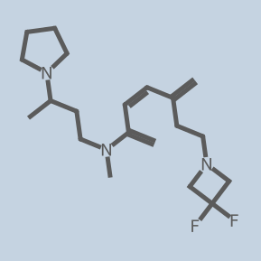 C=C(/C=C\C(=C)N(C)CCC(C)N1CCCC1)CCN1CC(F)(F)C1